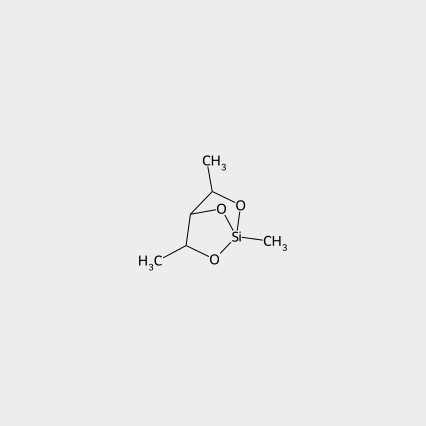 CC1O[Si]2(C)OC(C)C1O2